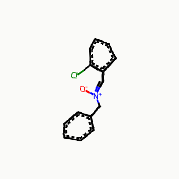 [O-][N+](=Cc1ccccc1Cl)Cc1ccccc1